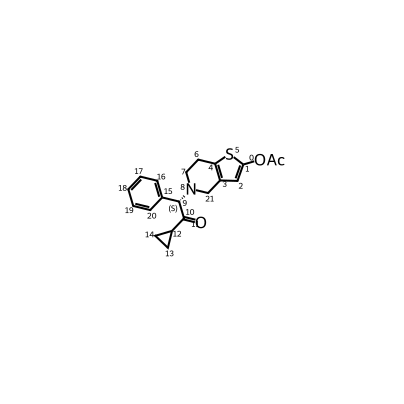 CC(=O)Oc1cc2c(s1)CCN([C@H](C(=O)C1CC1)c1ccccc1)C2